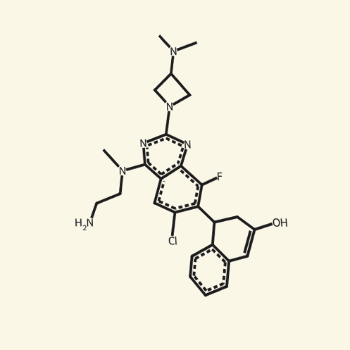 CN(CCN)c1nc(N2CC(N(C)C)C2)nc2c(F)c(C3CC(O)=Cc4ccccc43)c(Cl)cc12